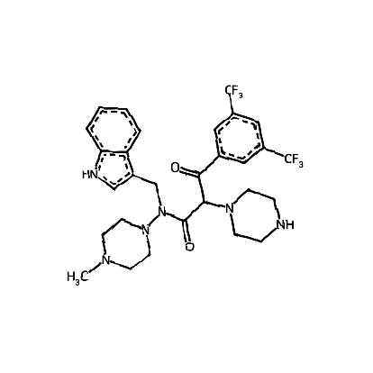 CN1CCN(N(Cc2c[nH]c3ccccc23)C(=O)C(C(=O)c2cc(C(F)(F)F)cc(C(F)(F)F)c2)N2CCNCC2)CC1